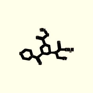 CC(C)CN(C(=O)C(=O)O)[C@H]1C[C@@H](C(=O)N2CCOCC2)CN(C(=O)OC(C)(C)C)C1